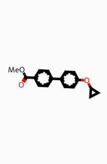 COC(=O)c1ccc(-c2ccc(OC3CC3)cc2)cc1